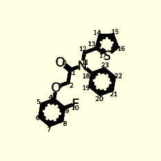 O=C(COc1ccccc1F)N(Cc1cccs1)c1ccccc1